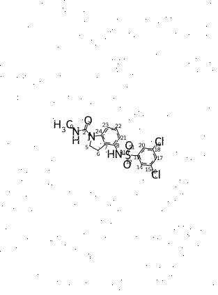 CNC(=O)N1CCc2c(NS(=O)(=O)c3cc(Cl)cc(Cl)c3)cccc21